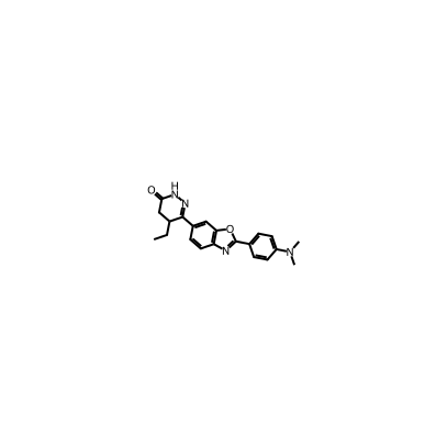 CCC1CC(=O)NN=C1c1ccc2nc(-c3ccc(N(C)C)cc3)oc2c1